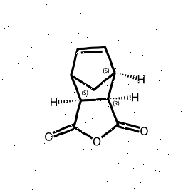 O=C1OC(=O)[C@H]2C3C=C[C@H](C3)[C@@H]12